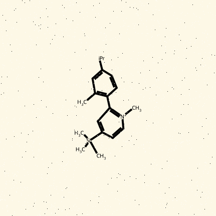 Cc1cc(C(C)C)ccc1-c1cc([Si](C)(C)C)cc[n+]1C